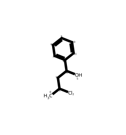 CC(Cl)CC(O)c1ccccc1